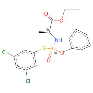 CCOC(=O)[C@H](C)N[P@@](=O)(Oc1ccccc1)Sc1cc(Cl)cc(Cl)c1